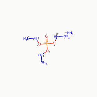 N.NNOP(=O)(ONN)ONN